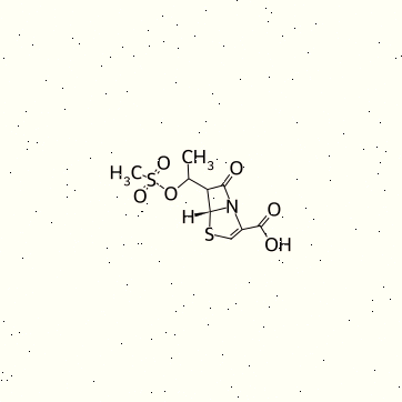 CC(OS(C)(=O)=O)C1C(=O)N2C(C(=O)O)=CS[C@H]12